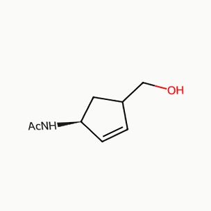 CC(=O)N[C@@H]1C=CC(CO)C1